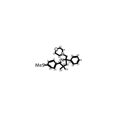 CSc1ccc(C2=NC(CN3CCOCC3)(c3ccccc3)CC2(C)C)cc1